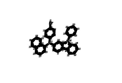 Brc1ccc(N(c2ccc3c4ccccc4n(-c4ccccc4)c3c2)c2cccc3ccccc23)cc1